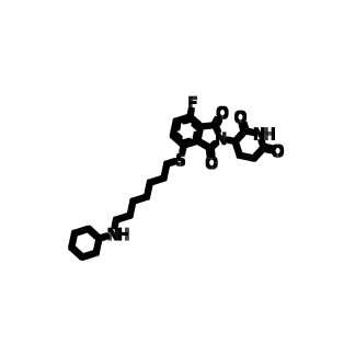 O=C1CCC(N2C(=O)c3c(F)ccc(SCCCCCCCNC4CCCCC4)c3C2=O)C(=O)N1